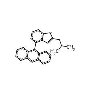 CC(C)CC1=Cc2c(cccc2-c2c3ccccc3cc3ccccc23)[CH]1